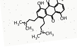 CN(C)CCc1cc(O)c2c(c1CCN(C)C)C(=O)c1c(O)ccc(N)c1C2=O